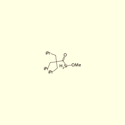 CO[SiH2]C(=O)C(CC(C)C)(CC(C)C)CC(C)C